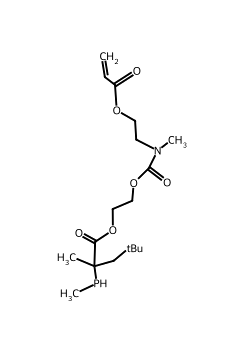 C=CC(=O)OCCN(C)C(=O)OCCOC(=O)C(C)(CC(C)(C)C)PC